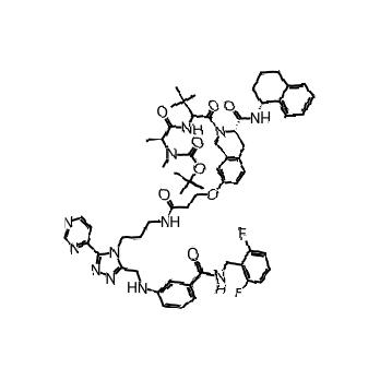 C[C@@H](C(=O)NC(C(=O)N1Cc2cc(OCCC(=O)NCCCn3c(CNc4cccc(C(=O)NCc5c(F)cccc5F)c4)nnc3-c3ccncn3)ccc2C[C@H]1C(=O)N[C@@H]1CCCc2ccccc21)C(C)(C)C)N(C)C(=O)OC(C)(C)C